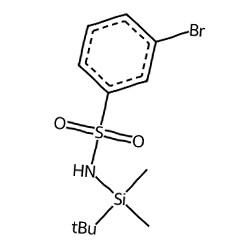 CC(C)(C)[Si](C)(C)NS(=O)(=O)c1cccc(Br)c1